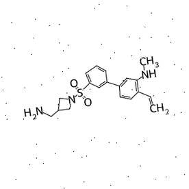 C=Cc1ccc(-c2cccc(S(=O)(=O)N3CC(CN)C3)c2)cc1NC